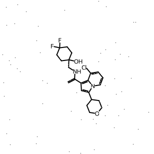 C=C(NCC1(O)CCC(F)(F)CC1)c1cc(C2CCOCC2)n2cccc(Cl)c12